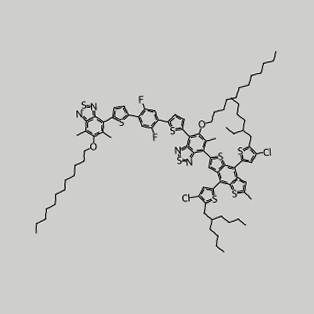 CCCCCCCCCCCCOc1c(C)c(-c2ccc(-c3cc(F)c(-c4ccc(-c5c(OCCCCCCCCCCCC)c(C)c(-c6cc7c(-c8cc(Cl)c(CC(CCCC)CCCC)s8)c8sc(C)cc8c(-c8cc(Cl)c(CC(CC)CCCC)s8)c7s6)c6nsnc56)s4)cc3F)s2)c2nsnc2c1C